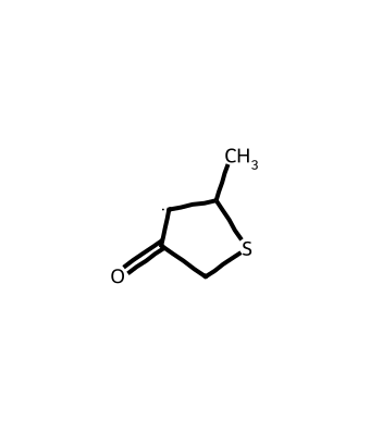 CC1[CH]C(=O)CS1